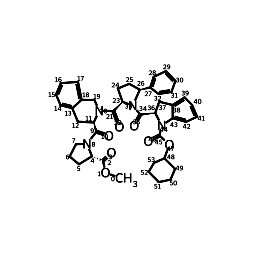 COC(=O)[C@@H]1CCCN1C(=O)[C@H]1Cc2ccccc2CN1C(=O)[C@H]1CC[C@@H](c2ccccc2)N1C(=O)[C@H]1Cc2ccccc2N1C(=O)OC1CCCCC1